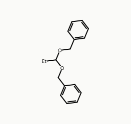 CCC(OCc1ccccc1)OCc1ccccc1